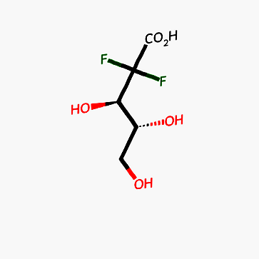 O=C(O)C(F)(F)[C@H](O)[C@H](O)CO